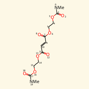 CNC(=O)OCCOC(=O)/C=C/C(=O)OCCOC(=O)NC